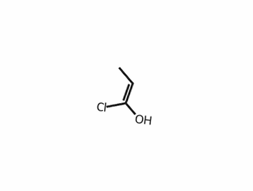 CC=C(O)Cl